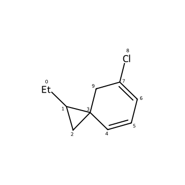 [CH2]CC1CC12C=CC=C(Cl)C2